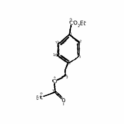 CCOC(=O)c1ccc(COC(=O)CC)cc1